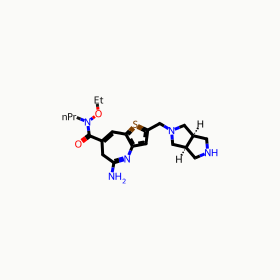 CCCN(OCC)C(=O)C1=Cc2sc(CN3C[C@H]4CNC[C@H]4C3)cc2N=C(N)C1